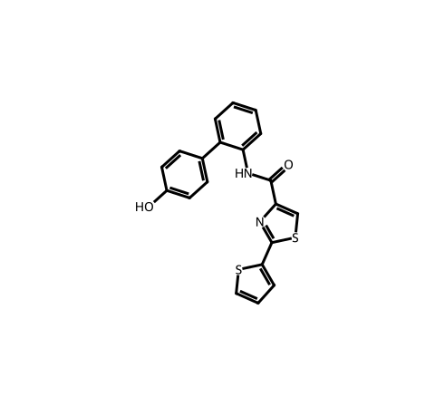 O=C(Nc1ccccc1-c1ccc(O)cc1)c1csc(-c2cccs2)n1